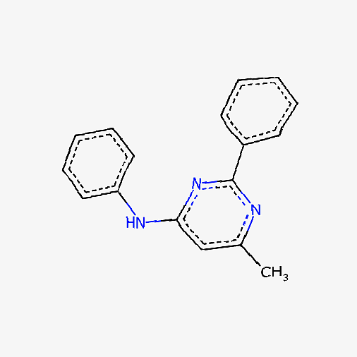 Cc1cc(Nc2ccccc2)nc(-c2ccccc2)n1